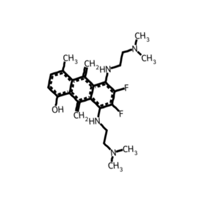 C=c1c2c(C)ccc(O)c2c(=C)c2c(NCCN(C)C)c(F)c(F)c(NCCN(C)C)c12